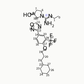 CC/N=C(\N)N1CC[C@H](O)[C@H]1c1nc(-c2ccc(OCCCC3CCCCC3)c(C(F)(F)F)c2)no1